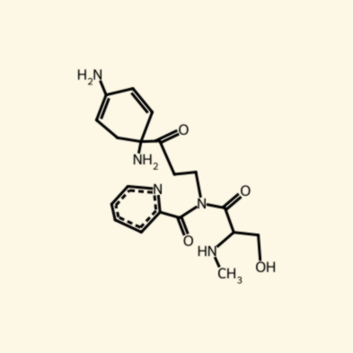 CNC(CO)C(=O)N(CCC(=O)C1(N)C=CC(N)=CC1)C(=O)c1ccccn1